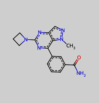 Cn1ncc2nc(N3CCC3)nc(-c3cccc(C(N)=O)c3)c21